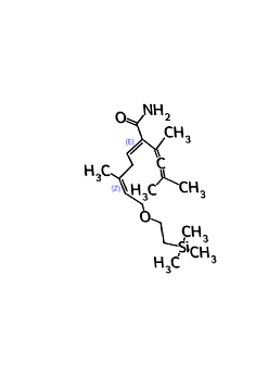 CC(C)=C=C(C)/C(=C\C/C(C)=C\COCC[Si](C)(C)C)C(N)=O